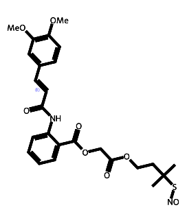 COc1ccc(/C=C/C(=O)Nc2ccccc2C(=O)OCC(=O)OCCC(C)(C)SN=O)cc1OC